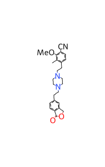 COc1c(C#N)ccc(CCN2CCN(CCc3ccc4c(c3)COC4=O)CC2)c1C